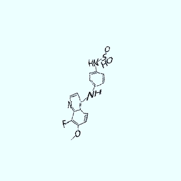 COc1ccc2c(Nc3ccc(N[SH](=O)=O)cc3)ccnc2c1F